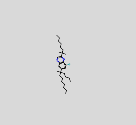 CCCCCCCC(C)(CCCC)c1cc(F)c2nc(C(C)(C)CCCCCC)cnc2c1